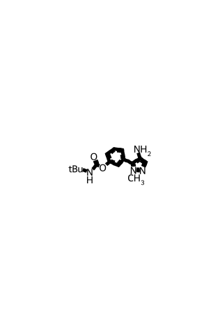 Cn1ncc(N)c1-c1cccc(OC(=O)NC(C)(C)C)c1